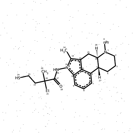 CCCN1CCC[C@@H]2c3cccc4c3c(c(C)n4NC(=O)C(C)(CC)CCS)C[C@H]21